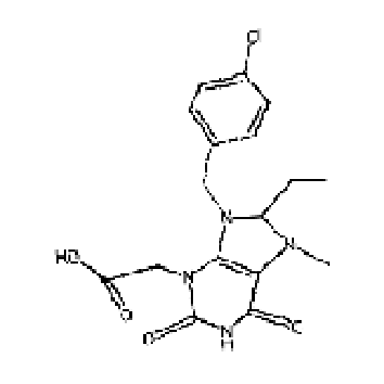 CCC1N(C)c2c(n(CC(=O)O)c(=O)[nH]c2=O)N1Cc1ccc(Cl)cc1